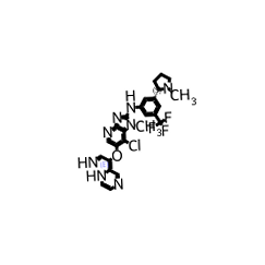 CN1CCC[C@H]1c1cc(Nc2nc3ncc(O/C(C=N)=C4\C=NC=CN4)c(Cl)c3n2C)cc(C(F)(F)F)c1